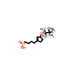 CC(C)(C)[Si](C)(C)OC1C=C(CCCC[PH](=O)O)CC1